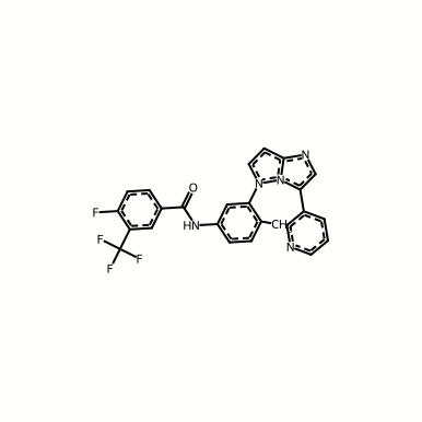 Cc1ccc(NC(=O)c2ccc(F)c(C(F)(F)F)c2)cc1-n1ccc2ncc(-c3cccnc3)n21